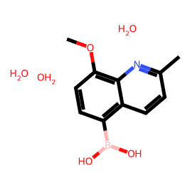 COc1ccc(B(O)O)c2ccc(C)nc12.O.O.O